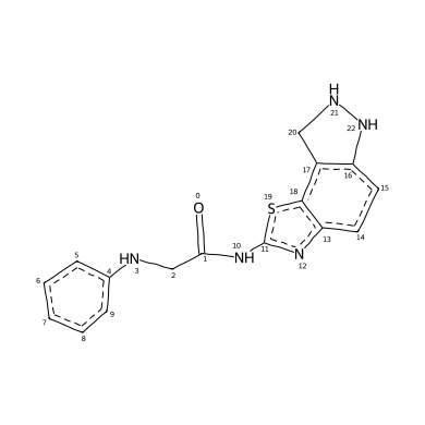 O=C(CNc1ccccc1)Nc1nc2ccc3c(c2s1)CNN3